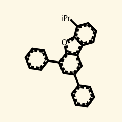 CC(C)c1cccc2c1oc1c(-c3ccccc3)cc(-c3ccccc3)cc12